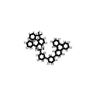 CC1(C)c2ccccc2-c2c1ccc1nc(-c3cccc(-c4cccc(-c5ccc6c7ccccc7c7ccccc7c6c5)c4)c3)nc(-c3ccccc3)c21